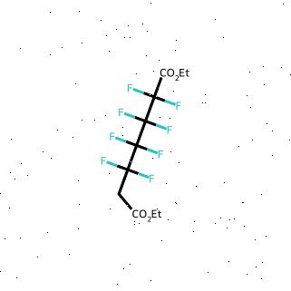 CCOC(=O)CC(F)(F)C(F)(F)C(F)(F)C(F)(F)C(=O)OCC